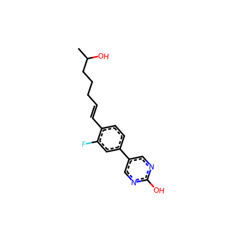 CC(O)CCCC=Cc1ccc(-c2cnc(O)nc2)cc1F